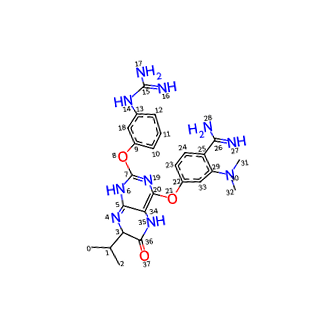 CC(C)C1N=C2NC(Oc3cccc(NC(=N)N)c3)=NC(Oc3ccc(C(=N)N)c(N(C)C)c3)=C2NC1=O